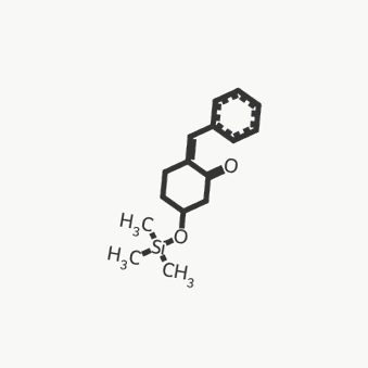 C[Si](C)(C)OC1CCC(=Cc2ccccc2)C(=O)C1